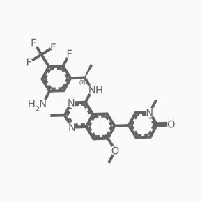 COc1cc2nc(C)nc(N[C@H](C)c3cc(N)cc(C(F)(F)F)c3F)c2cc1-c1ccc(=O)n(C)c1